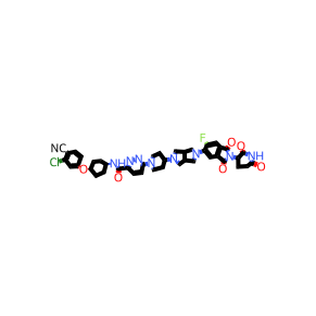 N#Cc1ccc(O[C@H]2CC[C@H](NC(=O)c3ccc(N4CCC(N5CC6CN(c7cc8c(cc7F)C(=O)N(C7CCC(=O)NC7=O)C8=O)CC6C5)CC4)nn3)CC2)cc1Cl